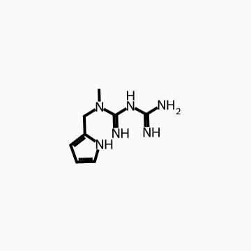 CN(Cc1ccc[nH]1)C(=N)NC(=N)N